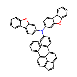 C1=Cc2ccc(-c3ccc(N(c4ccc5c(c4)oc4ccccc45)c4ccc5c(c4)oc4ccccc45)cc3)c3c(-c4ccccc4)ccc1c23